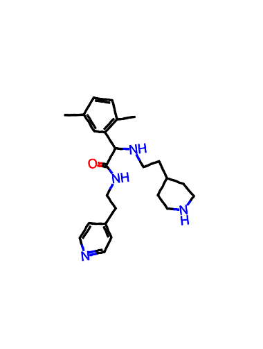 Cc1ccc(C)c(C(NCCC2CCNCC2)C(=O)NCCc2ccncc2)c1